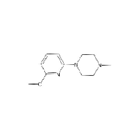 COc1[c]ccc(N2CCN(C)CC2)n1